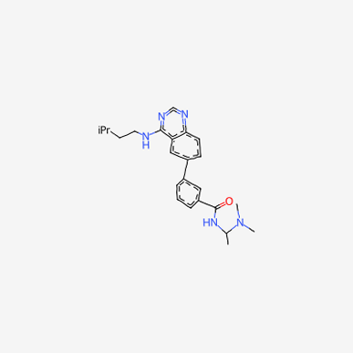 CC(C)CCNc1ncnc2ccc(-c3cccc(C(=O)NC(C)N(C)C)c3)cc12